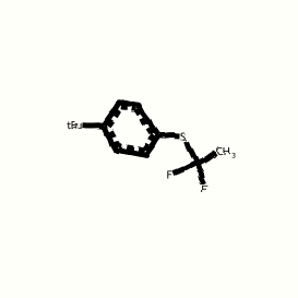 CC(F)(F)Sc1ccc(C(C)(C)C)cc1